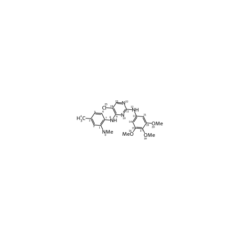 CNc1cc(C)ccc1Nc1nc(Nc2cc(OC)c(OC)c(OC)c2)ncc1Cl